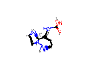 O=C(O)Nc1ccnn2ccnc12